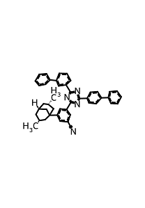 C[C@@H]1C[C@@H]2C[C@H](C)CC(c3cc(C#N)cc(-c4nc(-c5ccc(-c6ccccc6)cc5)nc(-c5cccc(-c6ccccc6)c5)n4)c3)(C1)C2